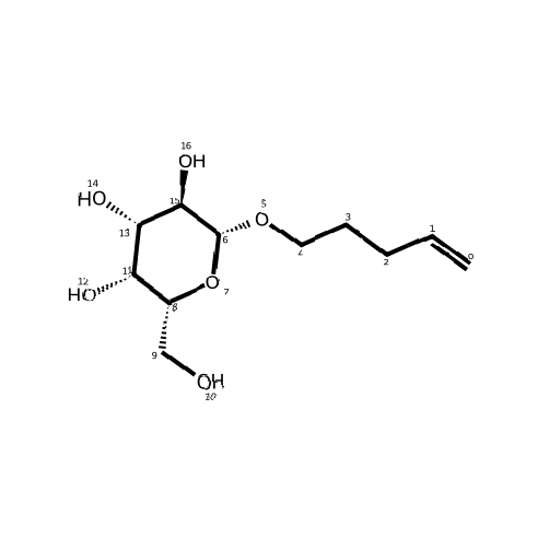 C=CCCCO[C@@H]1O[C@H](CO)[C@H](O)[C@H](O)[C@H]1O